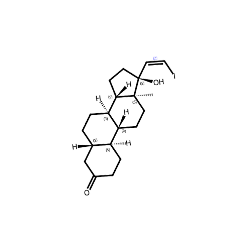 C[C@]12CC[C@H]3[C@@H](CC[C@H]4CC(=O)CC[C@@H]43)[C@@H]1CC[C@]2(O)/C=C\I